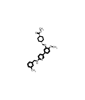 COc1ccc(-c2ccc(NCc3cccc(C)c3)nc2)cc1OC[C@H]1CC[C@H](C(=O)OC)CC1